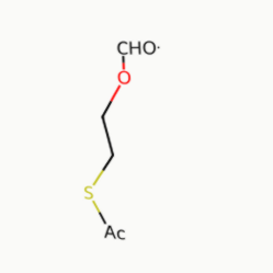 CC(=O)SCCO[C]=O